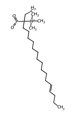 CCCC=CCCCCCCCCCCCC(CC)(P(=O)=O)[N+](C)(C)C